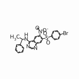 CC(Nc1ncnc2cc(S(=O)(=O)c3ccc(Br)cc3)c([N+](=O)[O-])cc12)c1ccccc1